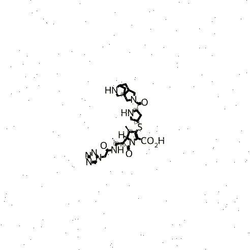 C[C@@H](NC(=O)Cn1cnnn1)[C@H]1C(=O)N2C(C(=O)O)=C(S[C@@H]3CN[C@H](C(=O)N4CC5CC6C[C@@]5(CN6)C4)C3)[C@H](C)[C@H]12